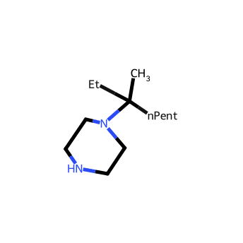 CCCCCC(C)(CC)N1CCNCC1